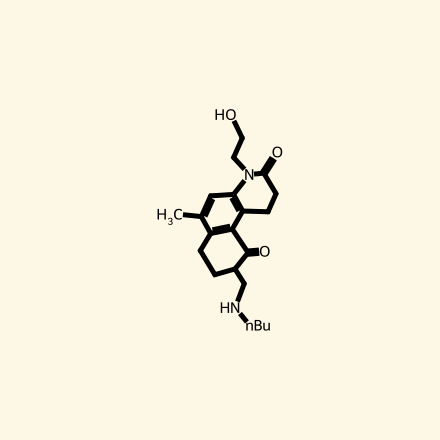 CCCCNCC1CCc2c(C)cc3c(c2C1=O)CCC(=O)N3CCO